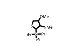 CNC1C(OC)CSC1[Si](C(C)C)(C(C)C)C(C)C